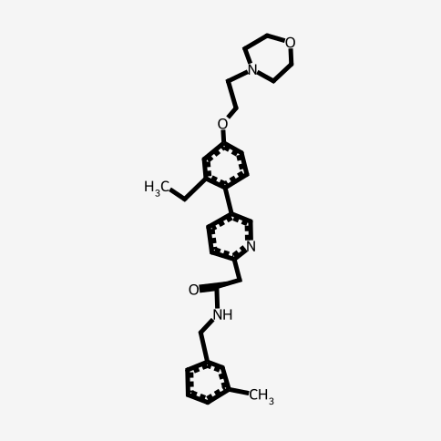 CCc1cc(OCCN2CCOCC2)ccc1-c1ccc(CC(=O)NCc2cccc(C)c2)nc1